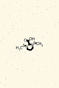 CSN1CCC[N+](SC)=C1C(=O)O